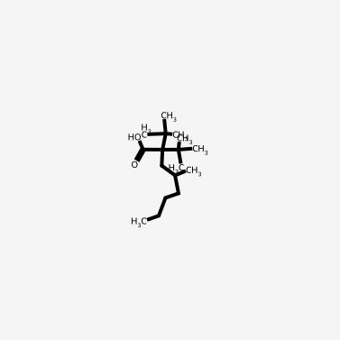 CCCCC(C)CC(C(=O)O)(C(C)(C)C)C(C)(C)C